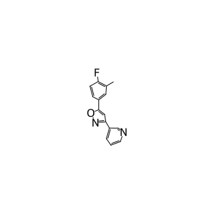 Cc1cc(-c2cc(-c3cccnc3)no2)ccc1F